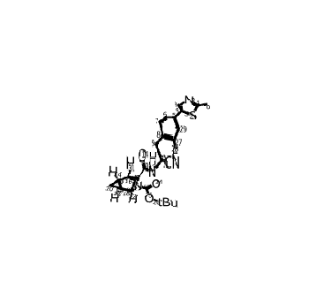 Cc1ncc(-c2ccc(C[C@@H](C#N)NC(=O)[C@@H]3[C@@H]4C[C@@H]([C@H]5C[C@@H]45)N3C(=O)OC(C)(C)C)c(F)c2)s1